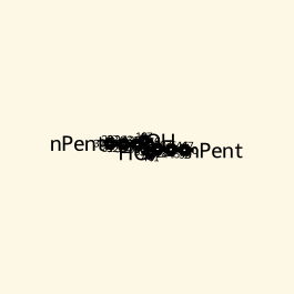 CCCCCc1ccc(-c2ccc(-c3ccc4c(-c5c(O)ccc6cc(-c7ccc(-c8ccc(CCCCC)cc8)cc7)ccc56)c(O)ccc4c3)cc2)cc1